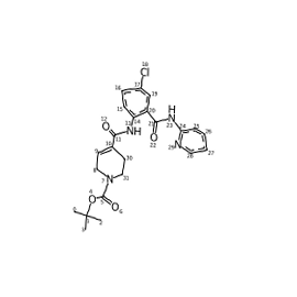 CC(C)(C)OC(=O)N1CC=C(C(=O)Nc2ccc(Cl)cc2C(=O)Nc2ccccn2)CC1